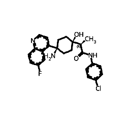 C[C@@H](C(=O)Nc1ccc(Cl)cc1)[C@]1(O)CC[C@](N)(c2ccnc3ccc(F)cc32)CC1